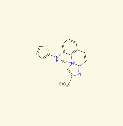 CCOC(=O)C1=C[N+]2(C#N)C(=N1)C=Cc1cccc(Nc3cccs3)c12